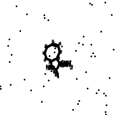 NN1C2C/C=C\CCCC2N[C@@H]1I